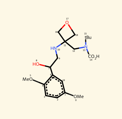 COc1ccc(OC)c(C(O)CNC2(CN(C(=O)O)C(C)(C)C)COC2)c1